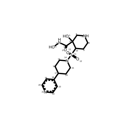 O=C(NO)C1(O)CNCCC1S(=O)(=O)N1CCC(c2ccncc2)CC1